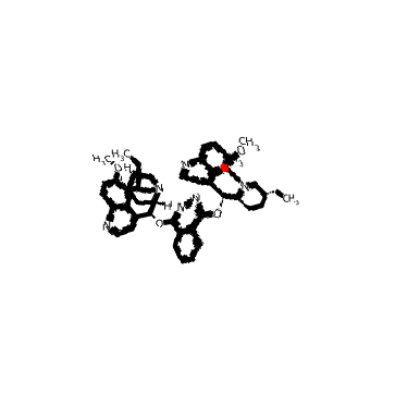 CC[C@@H]1CC[C@@H]([C@H](Oc2nnc(O[C@H](c3ccnc4ccc(OC)cc34)[C@@H]3C[C@@H]4CCN3C[C@@H]4CC)c3ccccc23)c2ccnc3ccc(OC)cc23)N(CC)C1